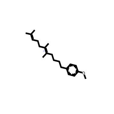 COc1ccc(CCCC/C(C)=C(\C)CCC=C(C)C)cc1